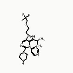 CC(C)C1=C2C(=CN=C(N3CCNCC3)N2c2ccncn2)N(CCOCC(F)(F)F)N1